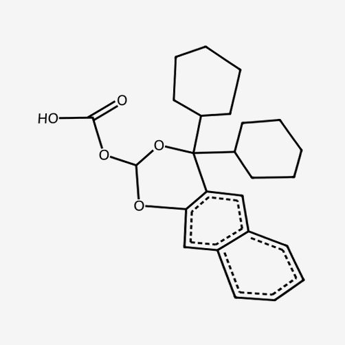 O=C(O)OC1Oc2cc3ccccc3cc2C(C2CCCCC2)(C2CCCCC2)O1